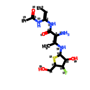 CC/C=C(/NC(=O)/C(N)=C(\C)NC1SC(CO)C(F)C1O)NC(=O)C(C)C